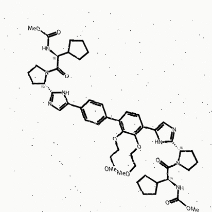 COCCOc1c(-c2ccc(-c3cnc([C@@H]4CCCN4C(=O)[C@@H](NC(=O)OC)C4CCCC4)[nH]3)cc2)ccc(-c2cnc([C@@H]3CCCN3C(=O)[C@@H](NC(=O)OC)C3CCCC3)[nH]2)c1OCCOC